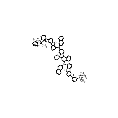 C[SiH](c1cccc(-c2ccc3oc4c(N(c5ccc6ccccc6c5)c5cc6c(c7ccccc57)-c5ccc(N(c7ccc8ccccc8c7)c7cccc8c7oc7ccc(-c9cccc([Si](C)(c%10ccccc%10)C(C)(C)C)c9)cc78)cc5C65CCCCC5)cccc4c3c2)c1)C(C)(C)C